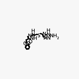 N=C(N)Nc1nc(CSCCNc2ncc(CC3Oc4ccccc4O3)c(=O)[nH]2)cs1